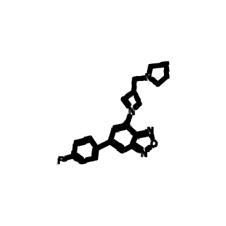 Fc1ccc(-c2cc(N3CC(CN4CCCC4)C3)c3nonc3c2)cc1